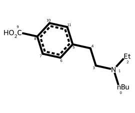 CCCCN(CC)CCc1ccc(C(=O)O)cc1